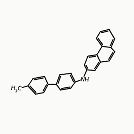 Cc1ccc(-c2ccc(Nc3ccc4c(ccc5ccccc54)c3)cc2)cc1